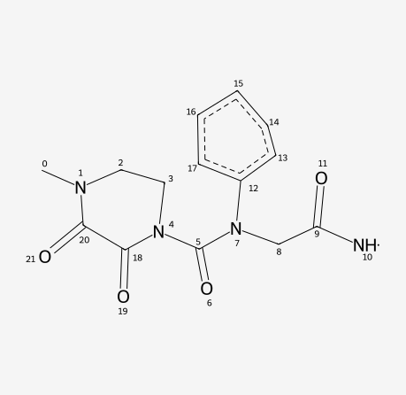 CN1CCN(C(=O)N(CC([NH])=O)c2ccccc2)C(=O)C1=O